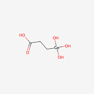 O=C(O)C[CH2][Ge]([OH])([OH])[OH]